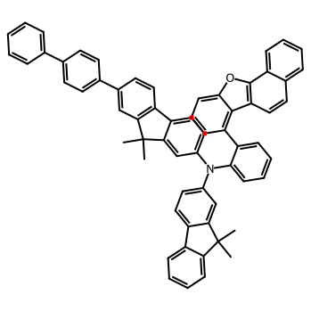 CC1(C)c2ccccc2-c2ccc(N(c3ccc4c(c3)C(C)(C)c3cc(-c5ccc(-c6ccccc6)cc5)ccc3-4)c3ccccc3-c3cccc4oc5c6ccccc6ccc5c34)cc21